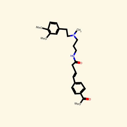 COC(=O)c1ccc(/C=C/CC(=O)NCCCN(C)CCc2ccc(OC)c(OC)c2)cc1